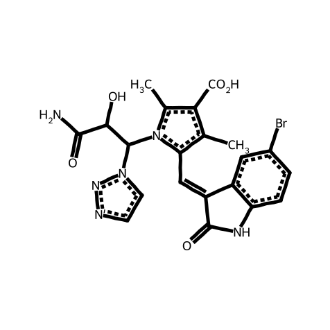 Cc1c(C(=O)O)c(C)n(C(C(O)C(N)=O)n2ccnn2)c1C=C1C(=O)Nc2ccc(Br)cc21